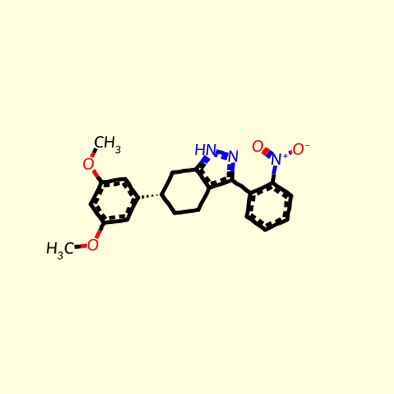 COc1cc(OC)cc([C@H]2CCc3c(-c4ccccc4[N+](=O)[O-])n[nH]c3C2)c1